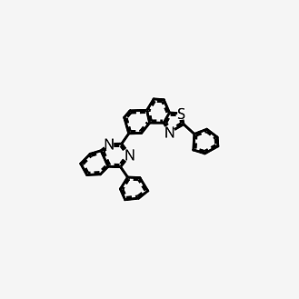 c1ccc(-c2nc3c(ccc4ccc(-c5nc(-c6ccccc6)c6ccccc6n5)cc43)s2)cc1